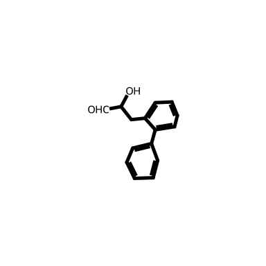 O=CC(O)Cc1ccccc1-c1ccccc1